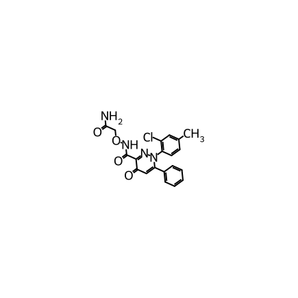 Cc1ccc(-n2nc(C(=O)NOCC(N)=O)c(=O)cc2-c2ccccc2)c(Cl)c1